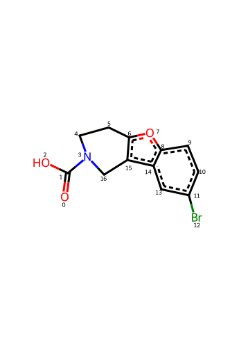 O=C(O)N1CCc2oc3ccc(Br)cc3c2C1